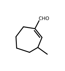 CC1C=C(C=O)CCCC1